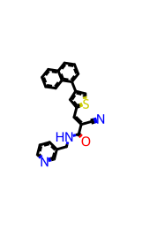 N#C/C(=C\c1cc(-c2cccc3ccccc23)cs1)C(=O)NCc1cccnc1